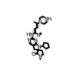 C=N/C(=C\C=C(/C)N1CCNCC1)Nc1ncc2c(n1)N(C1CCCC1)C1(CCN(C)C1=O)C2